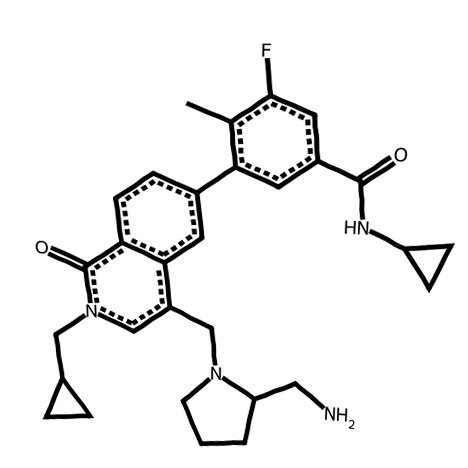 Cc1c(F)cc(C(=O)NC2CC2)cc1-c1ccc2c(=O)n(CC3CC3)cc(CN3CCCC3CN)c2c1